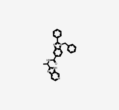 CC(NC(=O)c1ccc2c(c1)nc(-c1ccccc1)n2Cc1ccccc1)c1nc2ccncc2[nH]1